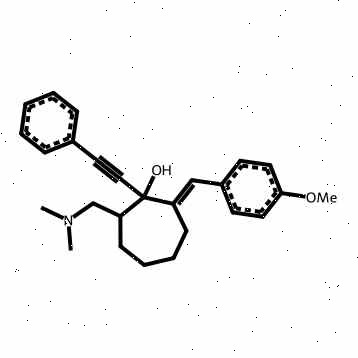 COc1ccc(C=C2CCCCC(CN(C)C)C2(O)C#Cc2ccccc2)cc1